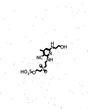 Cc1cc(NCCO)nc(NCCS(=O)(=O)CCOS(=O)(=O)O)c1C#N